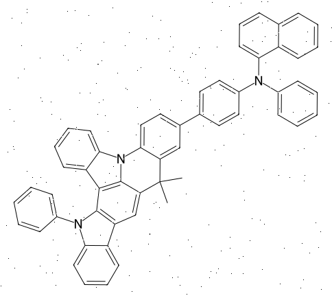 CC1(C)c2cc(-c3ccc(N(c4ccccc4)c4cccc5ccccc45)cc3)ccc2-n2c3ccccc3c3c2c1cc1c2ccccc2n(-c2ccccc2)c13